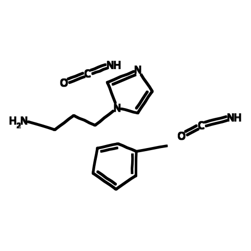 Cc1ccccc1.N=C=O.N=C=O.NCCCn1ccnc1